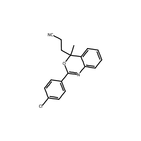 CC1(CCC#N)OC(c2ccc(Cl)cc2)=Nc2ccccc21